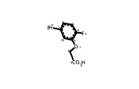 CC(C)c1ccc(F)c(OCC(=O)O)c1